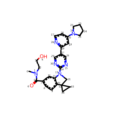 CN(CCO)C(=O)c1ccc2c(c1)N(c1ncc(-c3cc(N4CCCC4)ccn3)cn1)CC21CC1